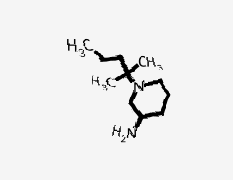 CCCC(C)(C)N1CCCC(N)C1